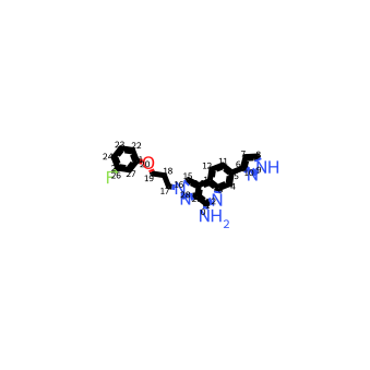 Nc1nc2cc(-c3cc[nH]n3)ccc2c2cn(CCCOc3cccc(F)c3)nc12